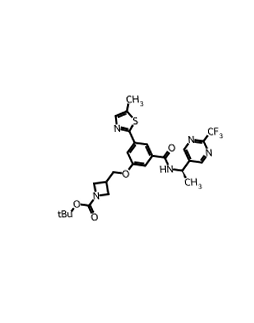 Cc1cnc(-c2cc(OCC3CN(C(=O)OC(C)(C)C)C3)cc(C(=O)N[C@H](C)c3cnc(C(F)(F)F)nc3)c2)s1